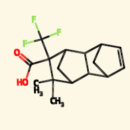 CC1(C)C2CC(C3C4C=CC(C4)C32)C1(C(=O)O)C(F)(F)F